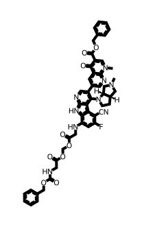 CN1C[C@@H]2CCN(c3c(-c4cnc5c(c4)c(=O)c(C(=O)OCc4ccccc4)cn5C)cnc4[nH]c5c(NCC(=O)OCOC(=O)CNC(=O)OCc6ccccc6)cc(F)c(C#N)c5c34)[C@@H]2C1